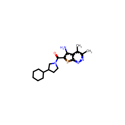 Cc1nnc2sc(C(=O)N3CCC(C4CCCCC4)C3)c(N)c2c1C